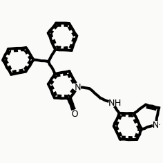 O=c1ccc(C(c2ccccc2)c2ccccc2)cn1CCNc1cccc2c1C=C[N]2